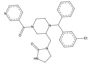 CCc1cccc(C(c2ccccc2)N2CCN(C(=O)c3cccnc3)CC2CN2CCNC2=O)c1